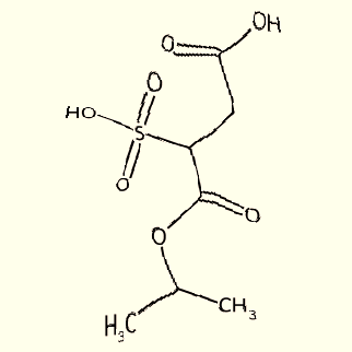 CC(C)OC(=O)C(CC(=O)O)S(=O)(=O)O